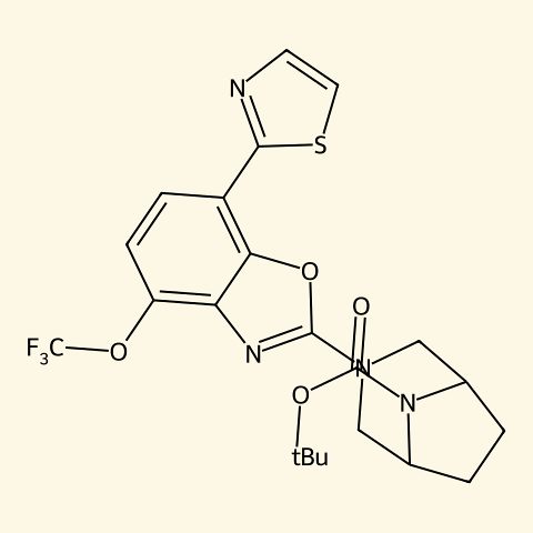 CC(C)(C)OC(=O)N1C2CCC1CN(c1nc3c(OC(F)(F)F)ccc(-c4nccs4)c3o1)C2